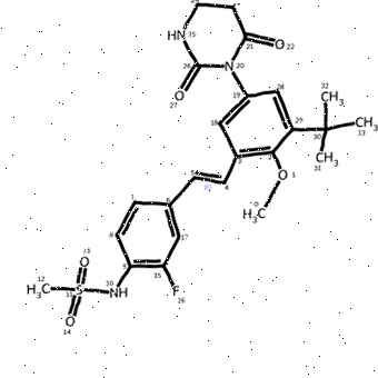 COc1c(/C=C/c2ccc(NS(C)(=O)=O)c(F)c2)cc(N2C(=O)CCNC2=O)cc1C(C)(C)C